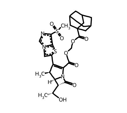 C[C@@H](O)[C@H]1C(=O)N2C(C(=O)OCOC(=O)C34CC5CC(CC(C5)C3)C4)=C(c3cn4cnc(S(C)(=O)=O)c4s3)[C@H](C)[C@H]12